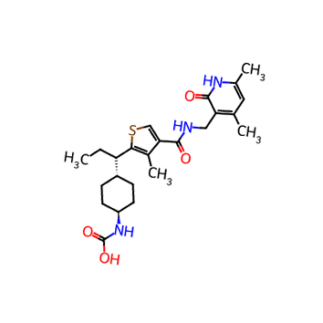 CCC(c1scc(C(=O)NCc2c(C)cc(C)[nH]c2=O)c1C)[C@H]1CC[C@H](NC(=O)O)CC1